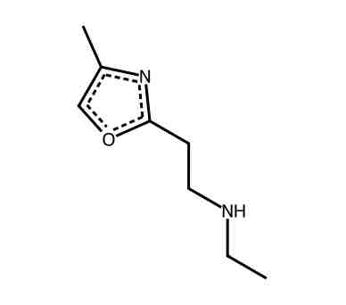 CCNCCc1nc(C)co1